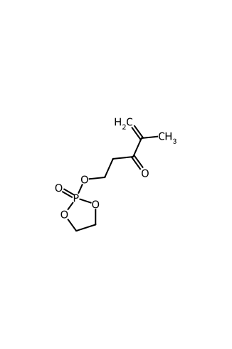 C=C(C)C(=O)CCOP1(=O)OCCO1